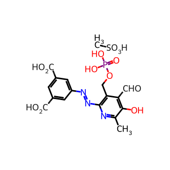 CS(=O)(=O)O.Cc1nc(N=Nc2cc(C(=O)O)cc(C(=O)O)c2)c(COP(=O)(O)O)c(C=O)c1O